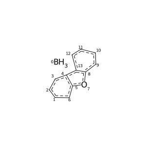 B.c1ccc2c(c1)oc1ccccc12